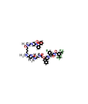 CN(CCCCCC(=O)N(C)CCN1CCC(N(C(=O)O)c2ccccc2-c2ccccc2)CC1)Cc1ccc(C(=O)N(C)CCCN(C)C(=O)CO[C@H]2Cc3ccccc3C23CCN(CC[C@@]2(c4ccc(F)cc4)CN(C(=O)c4cc(C(F)(F)F)cc(C(F)(F)F)c4)CO2)CC3)nc1